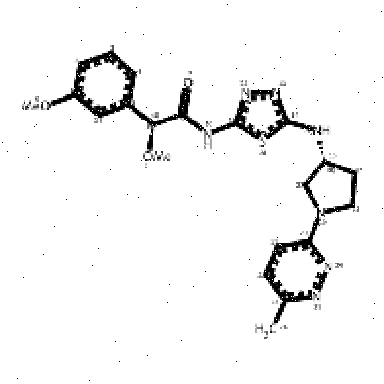 COc1cccc([C@H](OC)C(=O)Nc2nnc(N[C@@H]3CCN(c4ccc(C)nn4)C3)s2)c1